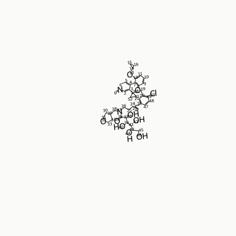 C=N/C=C(\C(=C/C)c1ccccc1OC1CC1)C1(OCc2cc(SCCCN(CC3CCOCC3)C(=O)[C@@H](O)[C@@H](O)[C@H](O)[C@@H](O)CO)ccc2Cl)CC1